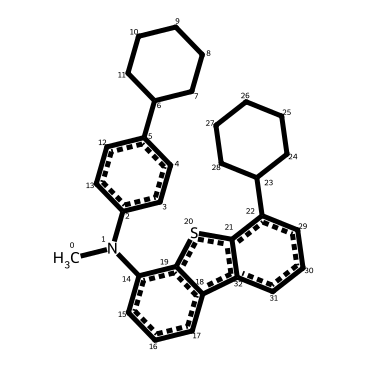 CN(c1ccc(C2CCCCC2)cc1)c1cccc2c1sc1c(C3CCCCC3)cccc12